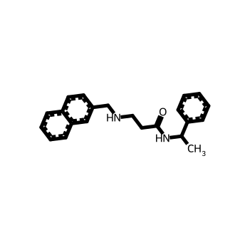 CC(NC(=O)CCNCc1ccc2ccccc2c1)c1ccccc1